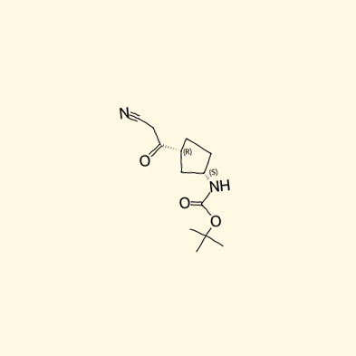 CC(C)(C)OC(=O)N[C@H]1CC[C@@H](C(=O)CC#N)C1